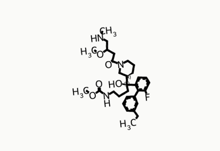 CCc1cccc(-c2c(F)cccc2[C@](O)(CCCNC(=O)OC)[C@@H]2CCCN(C(=O)CC(CNC)OC)C2)c1